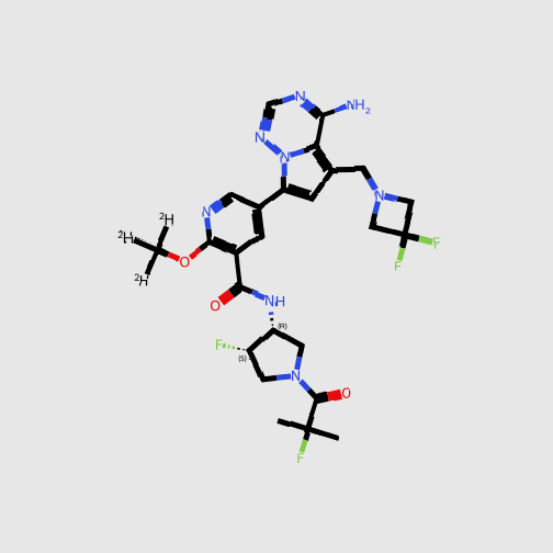 [2H]C([2H])([2H])Oc1ncc(-c2cc(CN3CC(F)(F)C3)c3c(N)ncnn23)cc1C(=O)N[C@@H]1CN(C(=O)C(C)(C)F)C[C@@H]1F